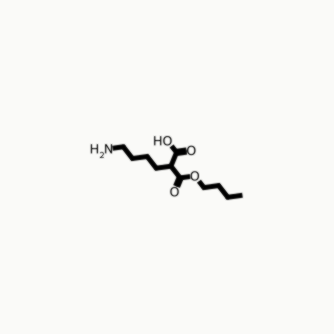 CCCCOC(=O)C(CCCCN)C(=O)O